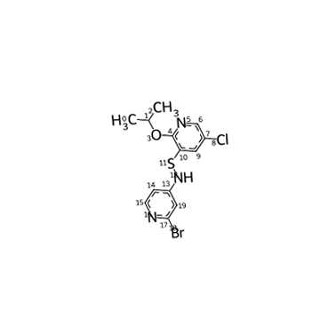 CC(C)Oc1ncc(Cl)cc1SNc1ccnc(Br)c1